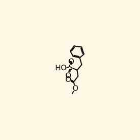 COC(=O)CC(Cc1ccccc1)S(=O)(=O)O